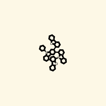 c1ccc(-n2c3ccccc3c3cc(-c4cccc5c6ccccc6n(-c6cccc7c6oc6ccccc67)c45)c(-c4cccc5c4oc4ccccc45)cc32)cc1